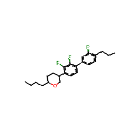 CCCCC1CCC(c2ccc(-c3ccc(CCC)c(F)c3)c(F)c2F)CO1